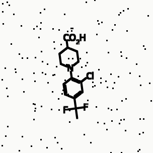 CC(F)(F)c1ccc(N2CCC(C(=O)O)CC2)c(Cl)c1